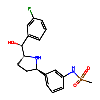 CS(=O)(=O)Nc1cccc([C@H]2CC[C@H]([C@H](O)c3cccc(F)c3)N2)c1